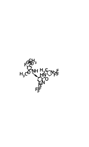 COc1cc(F)c(S(C)(=O)=O)cc1NCC#Cc1cc(C(=O)N[C@H]2CCN(CC(F)(F)F)C[C@@H]2C)c2ncn(CC(F)(F)F)c2c1